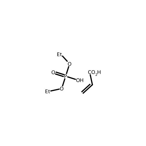 C=CC(=O)O.CCOP(=O)(O)OCC